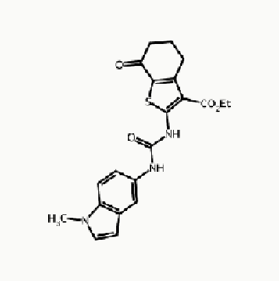 CCOC(=O)c1c(NC(=O)Nc2ccc3c(ccn3C)c2)sc2c1CCCC2=O